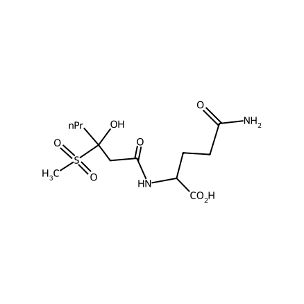 CCCC(O)(CC(=O)NC(CCC(N)=O)C(=O)O)S(C)(=O)=O